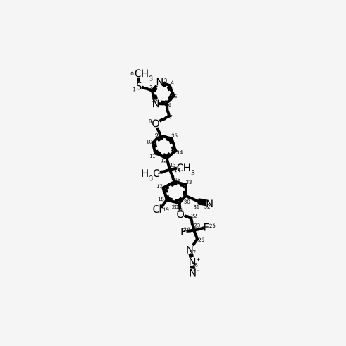 CSc1nccc(COc2ccc(C(C)(C)c3cc(Cl)c(OCC(F)(F)CN=[N+]=[N-])c(C#N)c3)cc2)n1